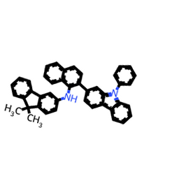 CC1(C)c2ccccc2-c2cc(Nc3c(-c4ccc5c6ccccc6n(-c6ccccc6)c5c4)ccc4ccccc34)ccc21